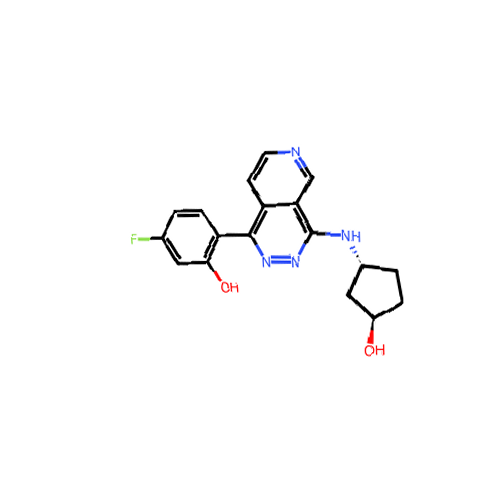 Oc1cc(F)ccc1-c1nnc(N[C@@H]2CC[C@@H](O)C2)c2cnccc12